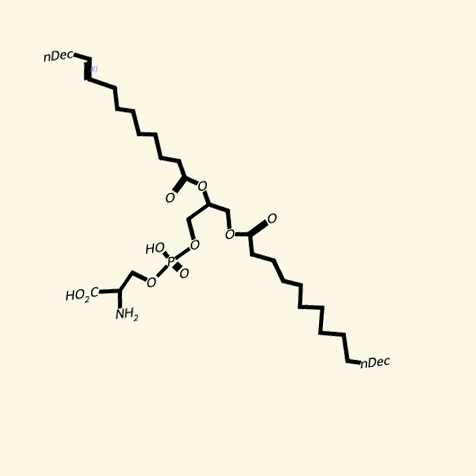 CCCCCCCCCC/C=C/CCCCCCCC(=O)OC(COC(=O)CCCCCCCCCCCCCCCCCCC)COP(=O)(O)OCC(N)C(=O)O